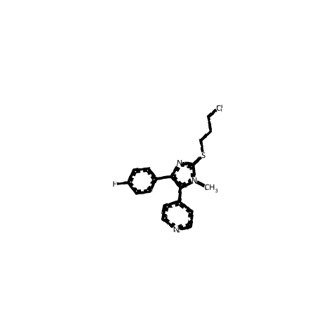 Cn1c(SCCCCl)nc(-c2ccc(F)cc2)c1-c1ccncc1